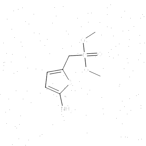 COP(=O)(Cc1ccc(N)s1)OC